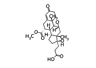 COC(=O)[C@@H]1CC2=CC(=O)CC[C@]2(C)[C@@]23O[C@@H]2C[C@@]2(C)[C@@H](CC[C@@]2(O)CCC(=O)O)[C@H]13